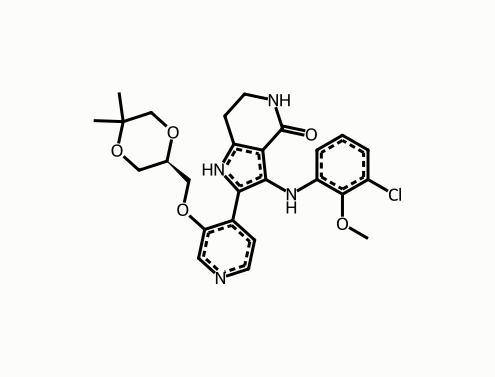 COc1c(Cl)cccc1Nc1c(-c2ccncc2OC[C@H]2COC(C)(C)CO2)[nH]c2c1C(=O)NCC2